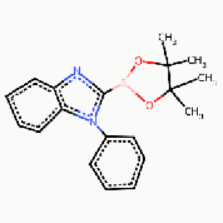 CC1(C)OB(c2nc3ccccc3n2-c2ccccc2)OC1(C)C